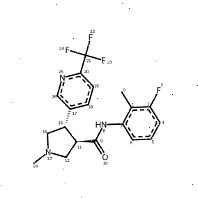 Cc1c(F)cccc1NC(=O)[C@H]1CN(C)C[C@@H]1c1ccc(C(F)(F)F)nc1